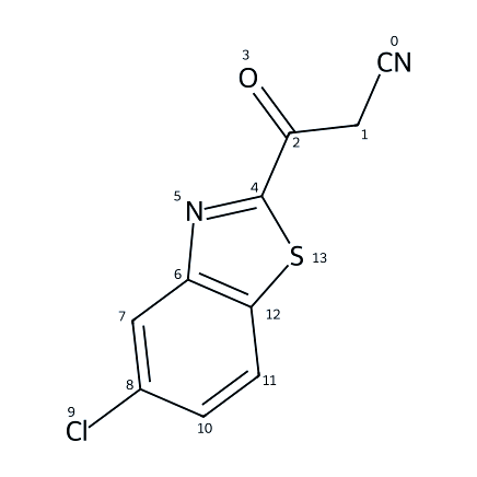 N#CCC(=O)c1nc2cc(Cl)ccc2s1